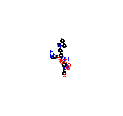 O=C(NS(=O)(=O)c1ccc(NCC2CCOCC2)c([N+](=O)[O-])c1)c1ccc(-c2ccc(N3CCCC3c3ccccc3C3CCCCC3)cc2)cc1Oc1cnc2[nH]ccc2c1